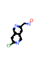 O=NCc1cc2cnc(Cl)cc2cn1